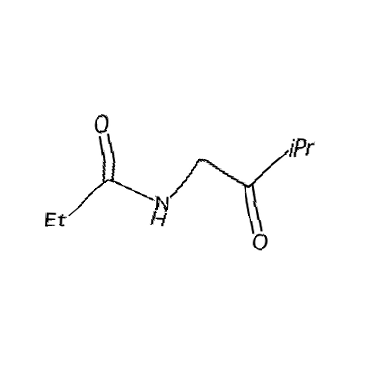 CCC(=O)NCC(=O)C(C)C